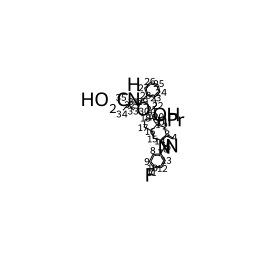 CCCC12Cc3cnn(-c4ccc(F)cc4)c3C=C1CC[C@@]2(O)CCc1ccccc1C(=O)NC(C)(C)C(=O)O